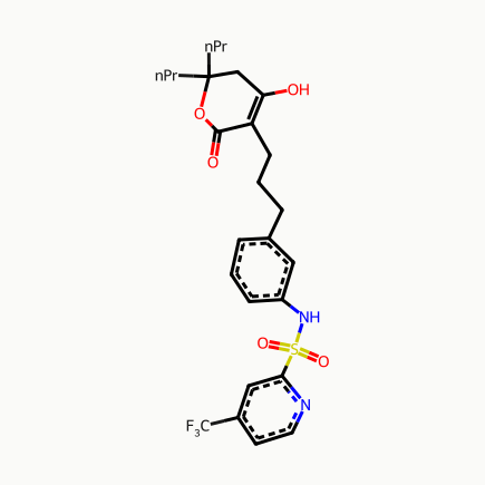 CCCC1(CCC)CC(O)=C(CCCc2cccc(NS(=O)(=O)c3cc(C(F)(F)F)ccn3)c2)C(=O)O1